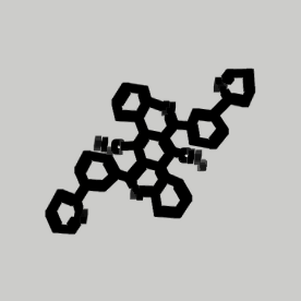 Cc1c2c(-c3cccc(-c4ccccn4)c3)nc3ccccc3c2c(C)c2c(-c3cccc(-c4ccccn4)c3)nc3ccccc3c12